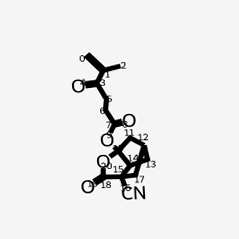 C=C(C)C(=O)CCC(=O)OC12CC3CC1C(C#N)(C3)C(=O)O2